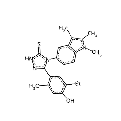 CCc1cc(-c2n[nH]c(=S)n2-c2ccc3c(c2)c(C)c(C)n3C)c(C)cc1O